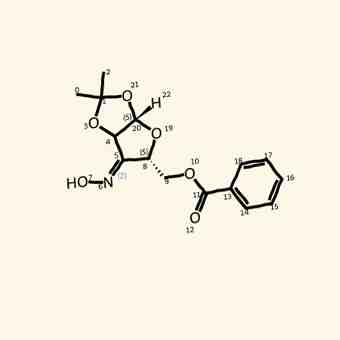 CC1(C)OC2/C(=N\O)[C@@H](COC(=O)c3ccccc3)O[C@H]2O1